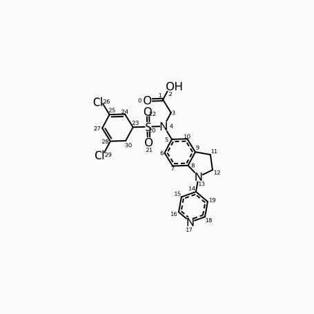 O=C(O)CN(c1ccc2c(c1)CCN2c1ccncc1)S(=O)(=O)C1C=C(Cl)C=C(Cl)C1